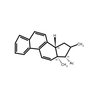 CC(=O)[C@H]1C(C)C[C@H]2c3ccc4ccccc4c3C=C[C@@]21C